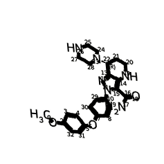 COc1ccc(Oc2ccc(-n3nc4c(c3C(N)=O)NCC[C@H]4N3CCNCC3)cc2)cc1